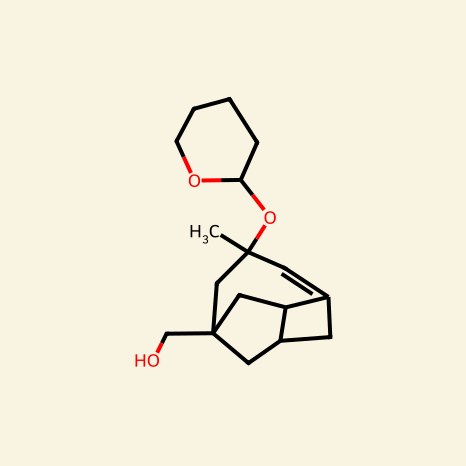 CC1(OC2CCCCO2)C=C2CC3CC(CO)(CC23)C1